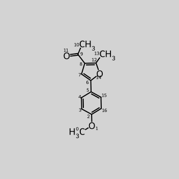 COc1ccc(-c2cc(C(C)=O)c(C)o2)cc1